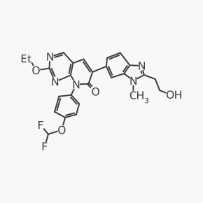 CCOc1ncc2cc(-c3ccc4nc(CCO)n(C)c4c3)c(=O)n(-c3ccc(OC(F)F)cc3)c2n1